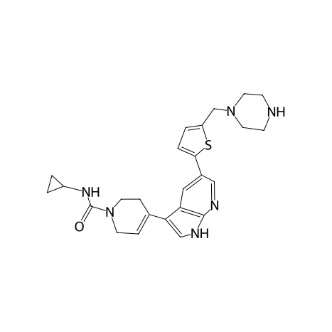 O=C(NC1CC1)N1CC=C(c2c[nH]c3ncc(-c4ccc(CN5CCNCC5)s4)cc23)CC1